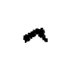 N#CCOc1ccc(-c2cc(Cn3cc4nc(-c5cccc(F)c5F)nc-4cn3)on2)c(C(F)(F)F)c1